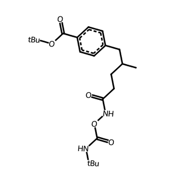 CC(CCC(=O)NOC(=O)NC(C)(C)C)Cc1ccc(C(=O)OC(C)(C)C)cc1